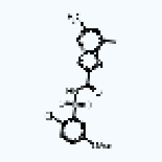 COc1ccc(Cl)c(S(=O)(=O)NC(=O)c2cn3cc(C(F)(F)F)cc(C)c3n2)c1